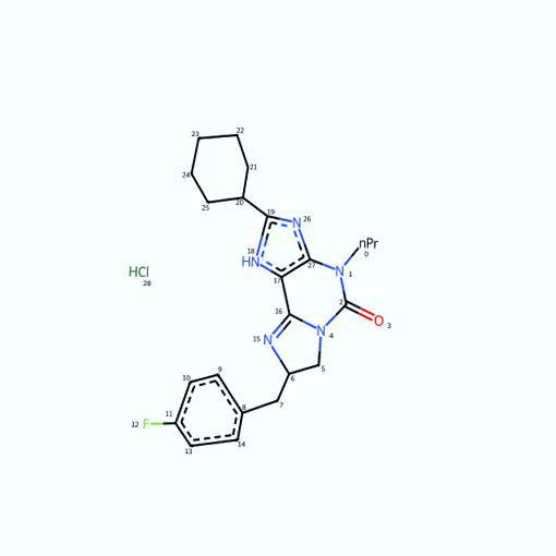 CCCN1C(=O)N2CC(Cc3ccc(F)cc3)N=C2c2[nH]c(C3CCCCC3)nc21.Cl